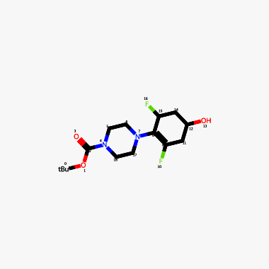 CC(C)(C)OC(=O)N1CCN(C2=C(F)CC(O)CC2F)CC1